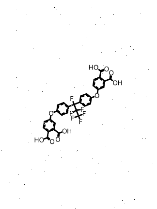 O=C(O)c1ccc(Oc2ccc(C(F)(c3ccc(Oc4ccc(C(=O)O)c(C(=O)O)c4)cc3)C(F)(F)C(F)(F)F)cc2)cc1C(=O)O